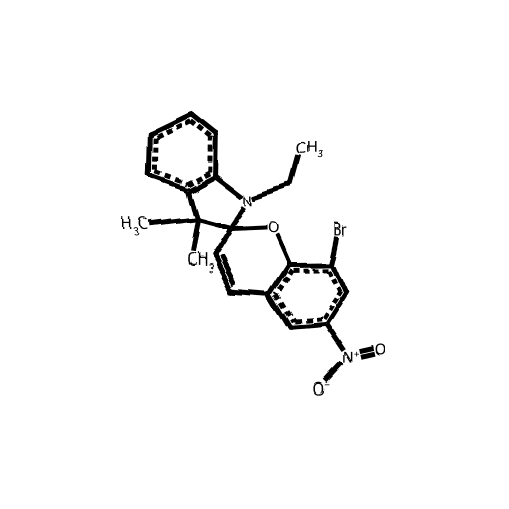 CCN1c2ccccc2C(C)(C)C12C=Cc1cc([N+](=O)[O-])cc(Br)c1O2